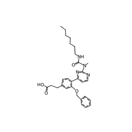 CCCCCCCNC(=O)N(C)c1nccc(-c2ccc(CCC(=O)O)cc2OCc2ccccc2)n1